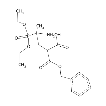 CCOP(=O)(OCC)C(C)(N)CC(C(=O)O)C(=O)OCc1ccccc1